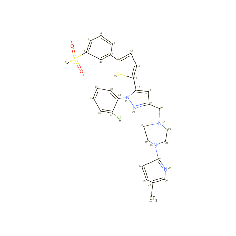 CS(=O)(=O)c1cccc(-c2ccc(-c3cc(CN4CCN(c5ccc(C(F)(F)F)cn5)CC4)nn3-c3ccccc3Cl)s2)c1